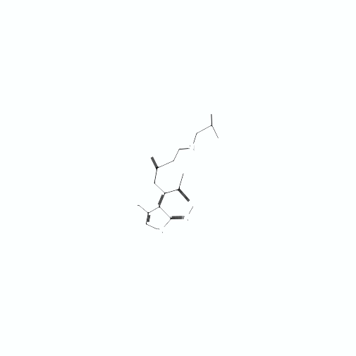 C=C(CCNCC(C)C)C/C(C(=C)C)=C1\C(I)=CN\C1=N\C